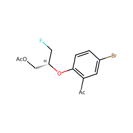 CC(=O)OC[C@H](CF)Oc1ccc(Br)cc1C(C)=O